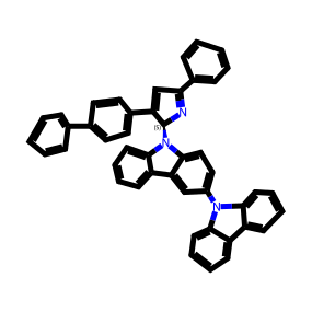 C1=C(c2ccc(-c3ccccc3)cc2)[C@H](n2c3ccccc3c3cc(-n4c5ccccc5c5ccccc54)ccc32)N=C1c1ccccc1